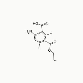 CCCOC(=O)c1c(C)cc(N)c(C(=O)O)c1C